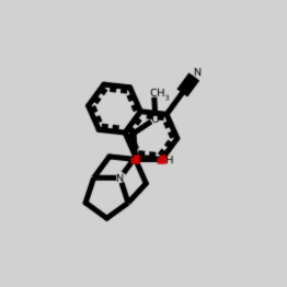 COCC1(O)CC2CCC(C1)N2c1ccc(C#N)c2ccccc12